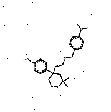 COc1ccc(C2(CCNCc3ccc(N(C)C)cc3)CCOC(C)(C)C2)cc1